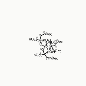 CCCCCCCCCCCC(CCCCCCCC)(CCCCCCCC)OP(=O)(OC(CCCCCCCC)(CCCCCCCC)CCCCCCCCCCC)OC(CCCCCCCC)(CCCCCCCC)CCCCCCCCCCC